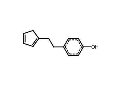 Oc1ccc(CCC2=CC=CC2)cc1